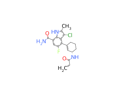 C=CC(=O)N[C@@H]1C=C(c2c(F)cc(C(N)=O)c3[nH]c(C)c(Cl)c23)CCC1